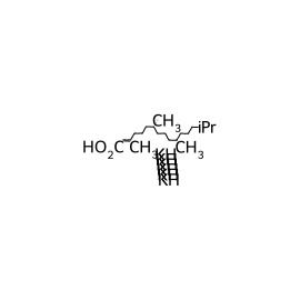 C/C(=C\C(=O)O)CCC[C@H](C)CCC[C@H](C)CCCC(C)C.[KH].[KH].[KH].[KH].[KH].[KH]